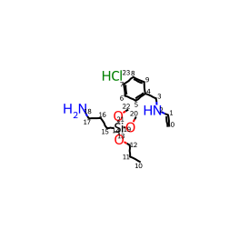 C=CNCc1ccccc1.CCCO[Si](CCCN)(OC)OC.Cl